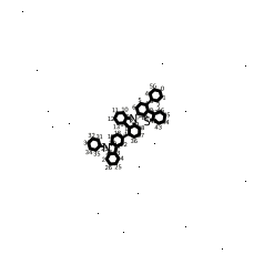 c1ccc(-c2ccc(-n3c4ccccc4c4c(-c5ccc6c(c5)c5ccccc5n6-c5ccccc5)cccc43)c3sc4ccccc4c23)cc1